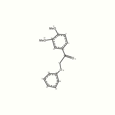 COc1ccc(C(=O)COc2ccccc2)cc1OC